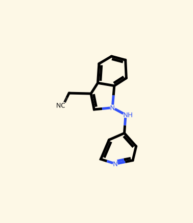 N#CCc1cn(Nc2ccncc2)c2ccccc12